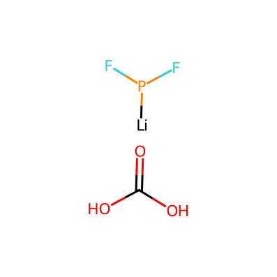 O=C(O)O.[Li][P](F)F